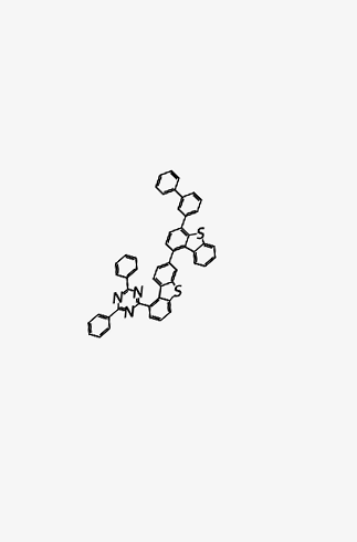 c1ccc(-c2cccc(-c3ccc(-c4ccc5c(c4)sc4cccc(-c6nc(-c7ccccc7)nc(-c7ccccc7)n6)c45)c4c3sc3ccccc34)c2)cc1